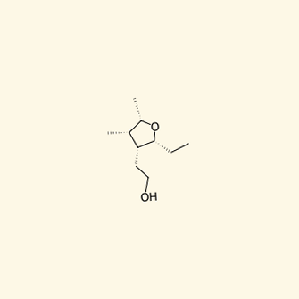 CC[C@H]1O[C@@H](C)[C@@H](C)[C@H]1CCO